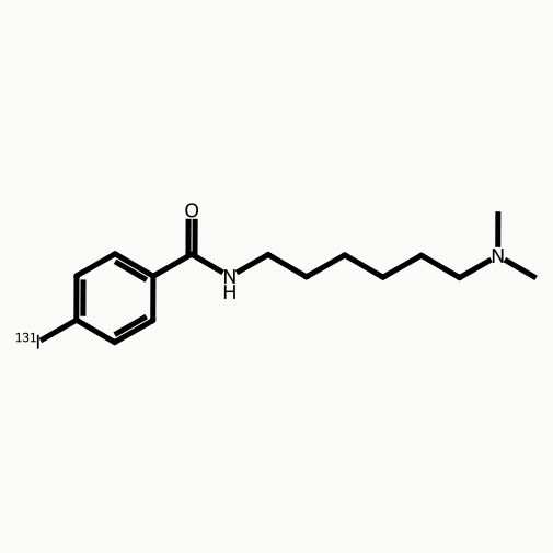 CN(C)CCCCCCNC(=O)c1ccc([131I])cc1